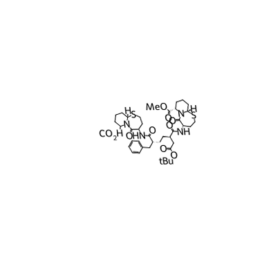 COC(=O)[C@@H]1CCC[C@@H]2SCC[C@H](NC(=O)[C@H](CC[C@H](Cc3ccccc3)C(=O)NC3CCS[C@H]4CCCC(C(=O)O)N4C3=O)CC(=O)OC(C)(C)C)C(=O)N21